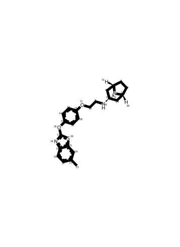 CC(=O)N1[C@@H]2CC[C@H]1C[C@@H](NCCOc1ccc(Oc3nc4ccc(C)cc4s3)cc1)C2